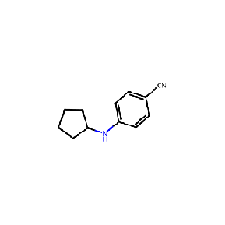 N#Cc1c[c]c(NC2CCCC2)cc1